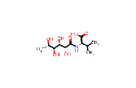 CC(C)[C@H](NC(=O)[C@H](O)[C@H](O)[C@@H](O)[C@H](C)O)C(=O)O